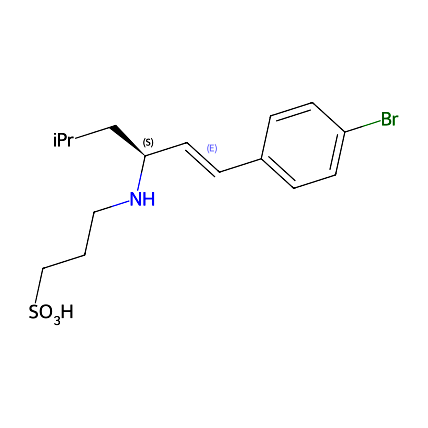 CC(C)C[C@@H](/C=C/c1ccc(Br)cc1)NCCCS(=O)(=O)O